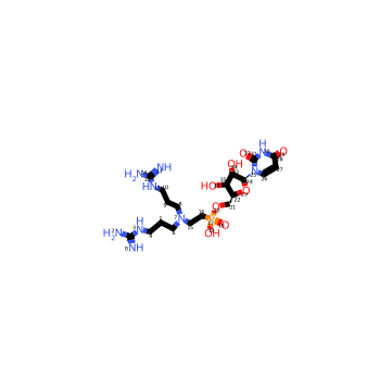 N=C(N)NCCCN(CCCNC(=N)N)CCP(=O)(O)OC[C@H]1O[C@@H](n2ccc(=O)[nH]c2=O)C(O)C1O